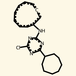 Clc1nc(Nc2ccccccccc2)nc(C2CCCCCCC2)n1